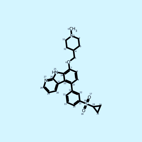 CN1CCC(COc2ccc(-c3cccc(S(=O)(=O)C4CC4)c3)c3c2[nH]c2ncccc23)CC1